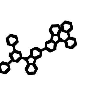 c1ccc(-c2cc(-n3c4ccccc4c4cc(-c5ccc6c(c5)c5ccccc5n6-c5ccccc5-c5ccccc5)ccc43)cc(-c3ccccc3)n2)cc1